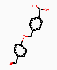 O=Cc1ccc(OCc2ccc(B(O)O)cc2)cc1